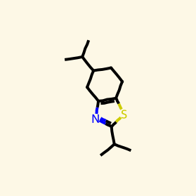 CC(C)c1nc2c(s1)CCC(C(C)C)C2